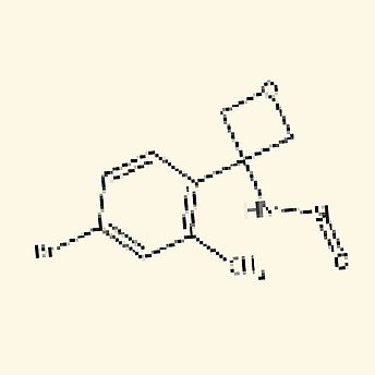 Cc1cc(Br)ccc1C1(N[SH]=O)COC1